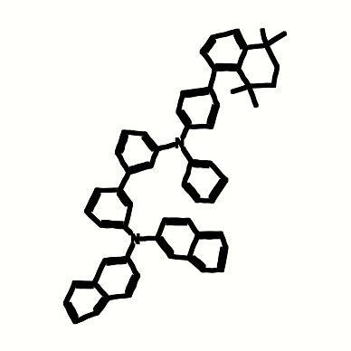 CC1(C)CCC(C)(C)c2c(-c3ccc(N(c4ccccc4)c4cccc(-c5cccc(N(c6ccc7ccccc7c6)c6ccc7ccccc7c6)c5)c4)cc3)cccc21